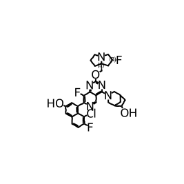 Oc1cc(-c2ncc3c(N4CC5CC(O)C(C5)C4)nc(OC[C@@]45CCCN4C[C@H](F)C5)nc3c2F)c2c(Cl)c(F)ccc2c1